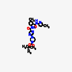 Cc1ccc(NC(=O)c2cc(C)ccc2NC(=O)c2cnc(N3CCCN(C(=O)OC(C)(C)C)CC3)cn2)nc1